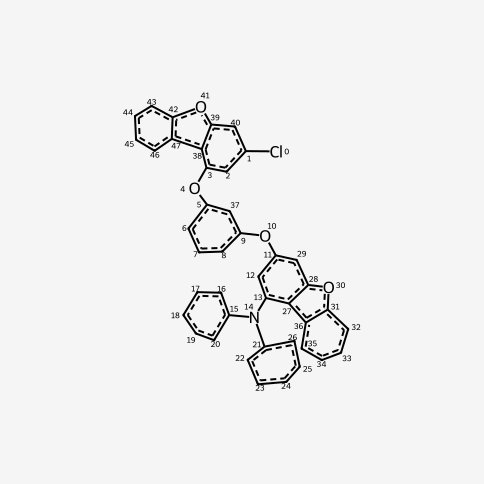 Clc1cc(Oc2cccc(Oc3cc(N(c4ccccc4)c4ccccc4)c4c(c3)oc3ccccc34)c2)c2c(c1)oc1ccccc12